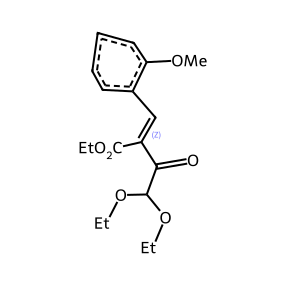 CCOC(=O)/C(=C\c1ccccc1OC)C(=O)C(OCC)OCC